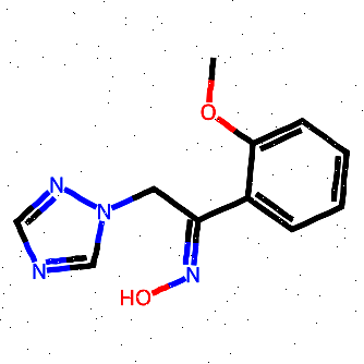 COc1ccccc1/C(Cn1cncn1)=N/O